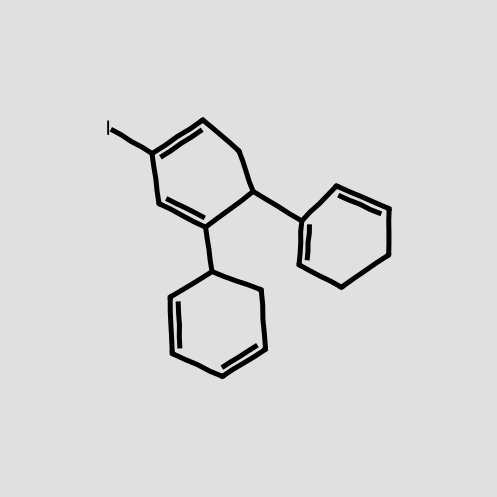 IC1=CCC(C2=CCCC=C2)C(C2C=CC=CC2)=C1